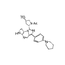 CC(=O)N1C[C@H](O)C[C@@H]1c1nc(-c2ccc(N3CCCCC3)cc2)c2cnc3[nH]ccc3n12